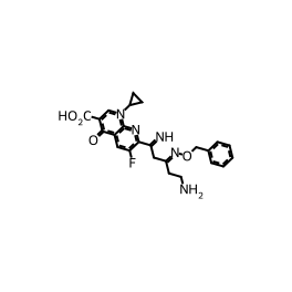 N=C(CC(CCN)=NOCc1ccccc1)c1nc2c(cc1F)c(=O)c(C(=O)O)cn2C1CC1